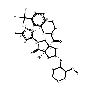 COC1COCCC1N[C@@H]1C[C@H]2C(=O)N(c3nc(C)no3)C[C@@]2(C(=O)N2CCc3ncc(C(F)(F)F)cc3C2)C1